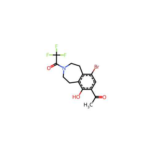 CC(=O)c1cc(Br)c2c(c1O)CCN(C(=O)C(F)(F)F)CC2